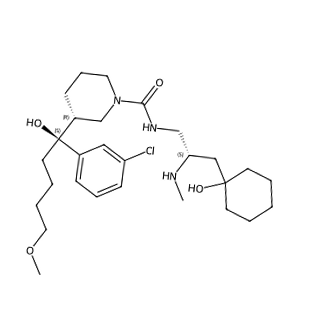 CN[C@H](CNC(=O)N1CCC[C@@H]([C@@](O)(CCCCOC)c2cccc(Cl)c2)C1)CC1(O)CCCCC1